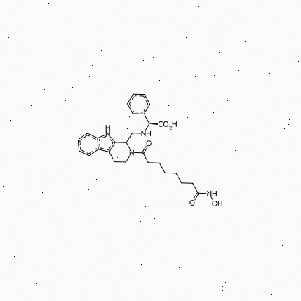 O=C(CCCCCCC(=O)N1CCc2c([nH]c3ccccc23)C1CN[C@H](C(=O)O)c1ccccc1)NO